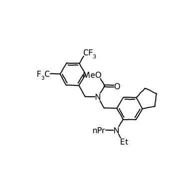 CCCN(CC)c1cc2c(cc1CN(Cc1cc(C(F)(F)F)cc(C(F)(F)F)c1)C(=O)OC)CCC2